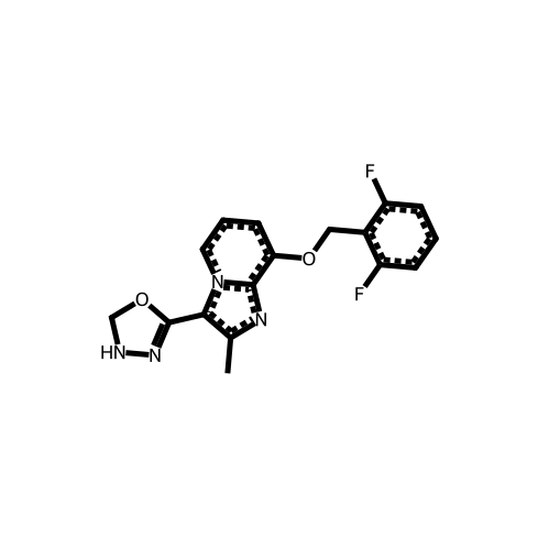 Cc1nc2c(OCc3c(F)cccc3F)cccn2c1C1=NNCO1